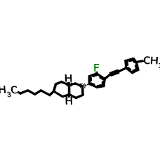 CCCCCCC1CC[C@@H]2C[C@H](c3ccc(C#Cc4ccc(C)cc4)c(F)c3)CC[C@@H]2C1